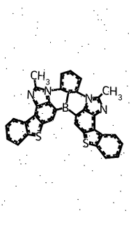 Cc1nc2c3c(cc4c2n1-c1cccc2c1B4c1cc4sc5ccccc5c4c4nc(C)n-2c14)sc1ccccc13